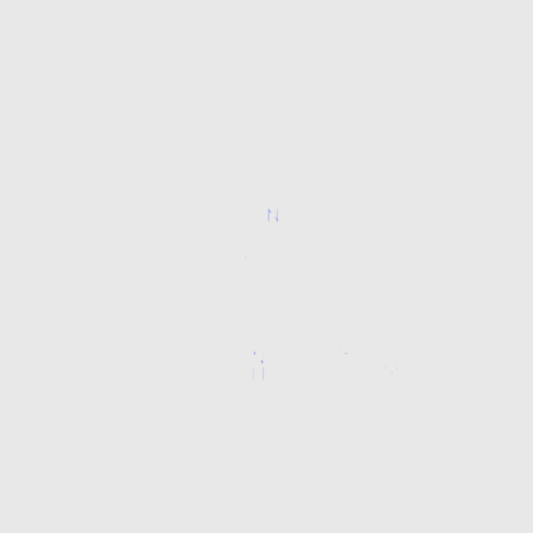 CN(C)C1(c2cccs2)CCNC(=C=O)C1